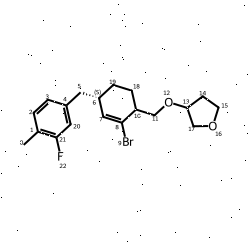 Cc1ccc(C[C@H]2C=C(Br)C(COC3CCOC3)CC2)cc1F